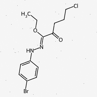 CCOC(=NNc1ccc(Br)cc1)C(=O)CCCCl